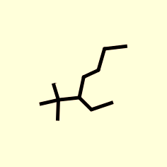 [CH2]C(C)(C)C(CC)CCCC